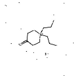 CCC[N+]1(CCC)CCC(=O)CC1.[Br-]